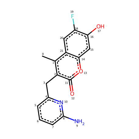 Cc1c(Cc2cccc(N)n2)c(=O)oc2cc(O)c(F)cc12